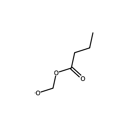 CCCC(=O)OC[O]